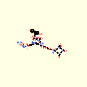 COC(=O)CN1CCN(CC=O)CCN(CC=O)CCN(CC(=O)NCCOCCOCCNC(=O)[C@H](CCCCn2cc(CCCC(=O)Nc3nnc(S(N)(=O)=O)s3)nn2)NC(=O)C[C@H](NC(=O)C[C@H](NC(=O)CCC(C)(c2ccc(O)cc2)c2ccc(O)cc2)C(=O)O)C(=O)O)CC1